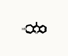 Cc1c2c(nc3ccccc13)C=CNCC2